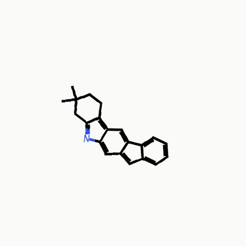 CC1(C)CCC2=c3cc4c(cc3N=C2C1)=Cc1ccccc1-4